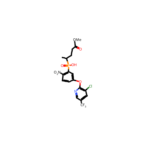 COC(=O)CCC(C)P(=O)(O)c1cc(Oc2ncc(C(F)(F)F)cc2Cl)ccc1[N+](=O)[O-]